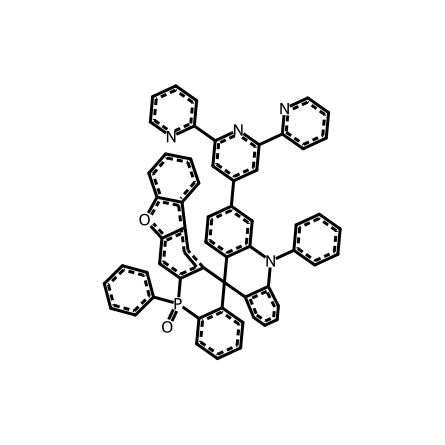 O=P1(c2ccccc2)c2ccccc2C2(c3ccccc3N(c3ccccc3)c3cc(-c4cc(-c5ccccn5)nc(-c5ccccn5)c4)ccc32)c2cc3c(cc21)oc1ccccc13